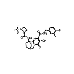 Cc1cc(CNC(=O)c2nc3n(c(=O)c2O)CC2CCC3(NC(=O)[C@@H]3CCN3S(C)(=O)=O)CC2)ccc1F